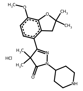 COc1ccc(C2=NN(C3CCNCC3)C(=O)C2(C)C)c2c1OC(C)(C)C2.Cl